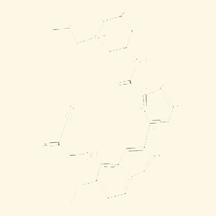 C=C(C#N)CNc1c(OC)ccc2ccc(-c3cccc(C(=O)NC4CCCN(CCO)C4)n3)cc12